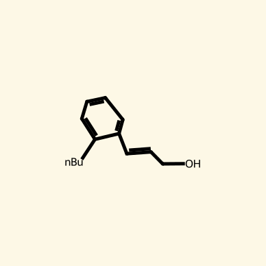 CCCCc1ccccc1/C=C/CO